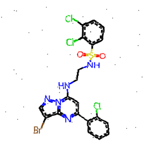 O=S(=O)(NCCNc1cc(-c2ccccc2Cl)nc2c(Br)cnn12)c1cccc(Cl)c1Cl